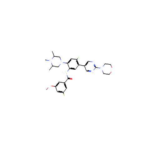 COc1cc(F)cc(C(=O)Nc2cc(-c3cnc(N4CCOCC4)nc3)c(F)cc2N2CC(C)N(C)C(C)C2)c1